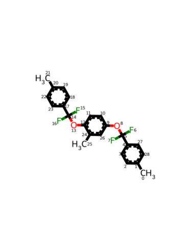 Cc1ccc(C(F)(F)Oc2ccc(OC(F)(F)c3ccc(C)cc3)c(C)c2)cc1